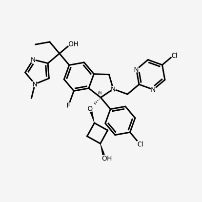 CCC(O)(c1cc(F)c2c(c1)CN(Cc1ncc(Cl)cn1)[C@@]2(O[C@H]1C[C@@H](O)C1)c1ccc(Cl)cc1)c1cn(C)cn1